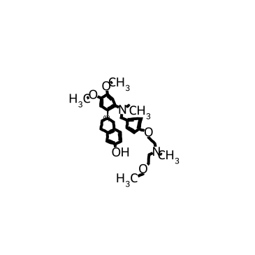 CCOCCN(C)CCOc1ccc(CN(CC)c2cc(OC)c(OC)cc2[C@@H]2CCc3cc(O)ccc3C2)cc1